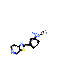 CNc1cccc(-c2nc3ccncc3s2)c1